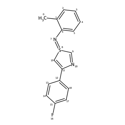 Cc1ccccc1N=S1C=NC(c2ccc(F)cc2)=C1